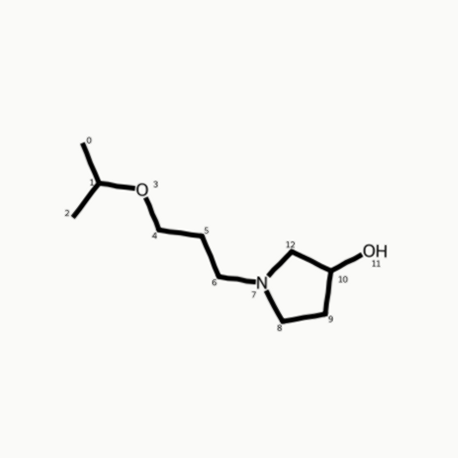 CC(C)OCCCN1CCC(O)C1